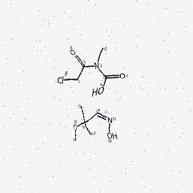 CN(C(=O)O)C(=O)CCl.COC(C)(C)/C=N\O